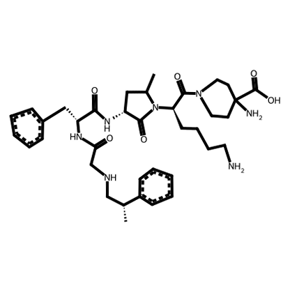 CC1C[C@@H](NC(=O)[C@@H](Cc2ccccc2)NC(=O)CNC[C@@H](C)c2ccccc2)C(=O)N1[C@H](CCCCN)C(=O)N1CCC(N)(C(=O)O)CC1